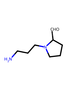 NCCCN1CCCC1C=O